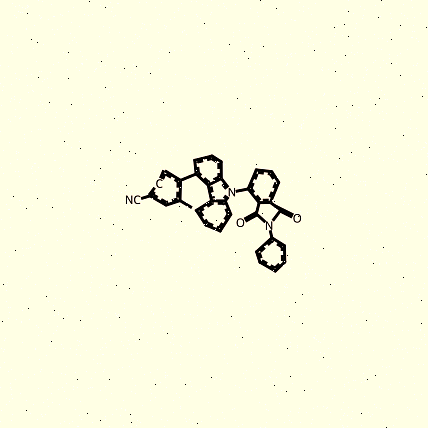 Cc1cc(C#N)ccc1-c1cccc2c1c1ccccc1n2-c1cccc2c1C(=O)N(c1ccccc1)C2=O